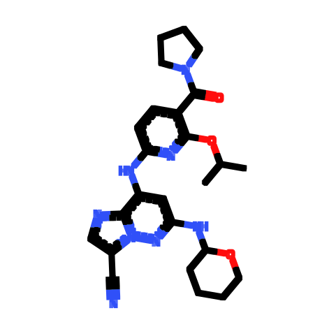 CC(C)Oc1nc(Nc2cc(NC3CCCCO3)nn3c(C#N)cnc23)ccc1C(=O)N1CCCC1